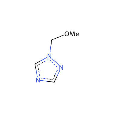 COCn1cncn1